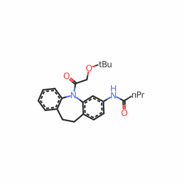 CCCC(=O)Nc1ccc2c(c1)N(C(=O)COC(C)(C)C)c1ccccc1CC2